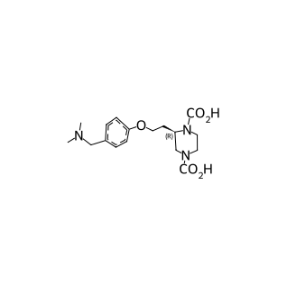 CN(C)Cc1ccc(OCC[C@@H]2CN(C(=O)O)CCN2C(=O)O)cc1